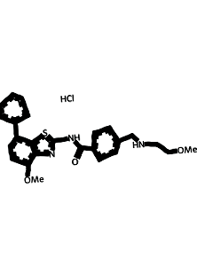 COCCNCc1ccc(C(=O)Nc2nc3c(OC)ccc(-c4ccccc4)c3s2)cc1.Cl